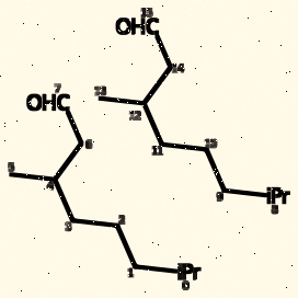 CC(C)CCCC(C)CC=O.CC(C)CCCC(C)CC=O